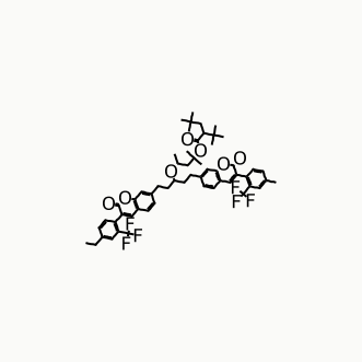 CCc1ccc(-c2cc3ccc(CCC(CCc4ccc5cc(-c6ccc(C)cc6C(F)(F)F)c(=O)oc5c4)OC(C)CC(C)(C)OC(=O)C(CC(C)(C)C)C(C)(C)C)cc3oc2=O)c(C(F)(F)F)c1